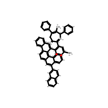 C=C1CC(c2ccccc2)=C(C)C(c2ccccc2)N=C1c1cc(N)ccc1-c1cc2ccccc2c2ccc3cc(-c4ccc5ccccc5c4)c4ccccc4c3c12